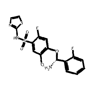 N[C@H](Oc1cc(F)c(S(=O)(=O)Nc2nccs2)cc1Cl)c1ccccc1F